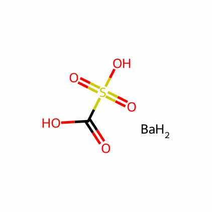 O=C(O)S(=O)(=O)O.[BaH2]